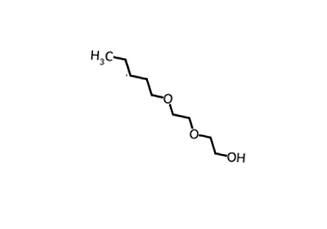 CC[CH]CCOCCOCCO